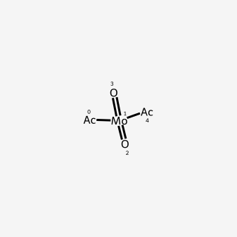 C[C](=O)[Mo](=[O])(=[O])[C](C)=O